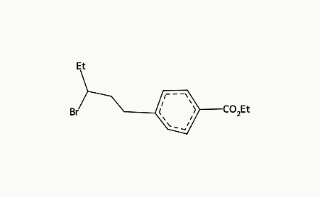 CCOC(=O)c1ccc(CCC(Br)CC)cc1